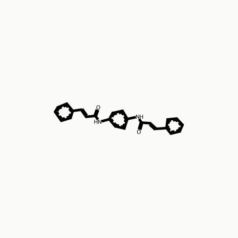 O=C(/C=C/c1ccccc1)Nc1ccc(NC(=O)/C=C/c2ccccc2)cc1